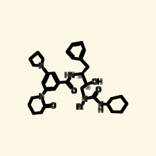 CCN(C[C@H](O)[C@H](Cc1ccccc1)NC(=O)c1cc(N2CCCC2)cc(N2CCCCC2=O)c1)C(=O)NC1CCCCC1